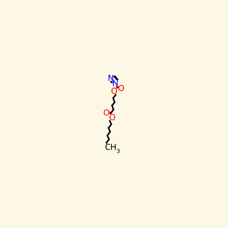 CCCCCCCCOC(=O)CCCCCOC(=O)n1ccnc1